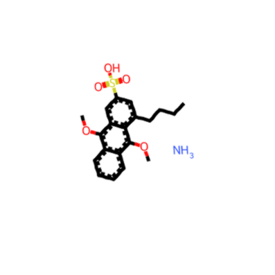 CCCCc1cc(S(=O)(=O)O)cc2c(OC)c3ccccc3c(OC)c12.N